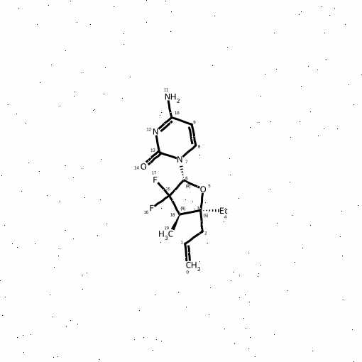 C=CC[C@]1(CC)O[C@@H](n2ccc(N)nc2=O)C(F)(F)[C@@H]1C